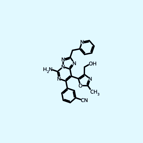 Cc1nc(CO)c(-c2c(-c3cccc(C#N)c3)nc(N)n3nc(Cc4ccccn4)nc23)o1